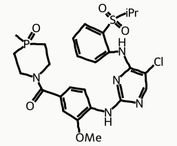 COc1cc(C(=O)N2CCP(C)(=O)CC2)ccc1Nc1ncc(Cl)c(Nc2ccccc2S(=O)(=O)C(C)C)n1